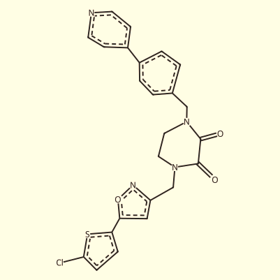 O=C1C(=O)N(Cc2cc(-c3ccc(Cl)s3)on2)CCN1Cc1ccc(-c2ccncc2)cc1